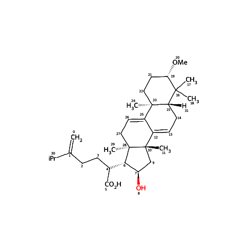 C=C(CCC(C(=O)O)[C@H]1[C@H](O)C[C@@]2(C)C3=CC[C@H]4C(C)(C)[C@@H](OC)CC[C@]4(C)C3=CC[C@]12C)C(C)C